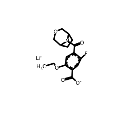 CCOc1cc(C(=O)N2C3CCC2COC3)c(F)cc1C(=O)[O-].[Li+]